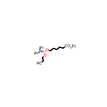 CCOC(=O)CCCCCOP(OCCC#N)N(C(C)C)C(C)C